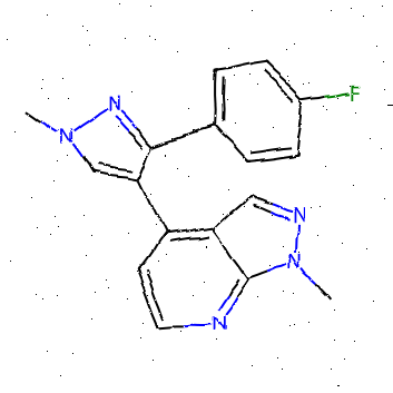 Cn1cc(-c2ccnc3c2cnn3C)c(-c2ccc(F)cc2)n1